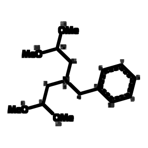 COC(CN(Cc1ccccc1)CC(OC)OC)OC